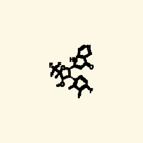 CO[C@H]1[C@@H](c2ccc(F)c(F)c2C)[C@H](c2cc(=O)c3cnccc3[nH]2)O[C@@]1(C)C(F)(F)F